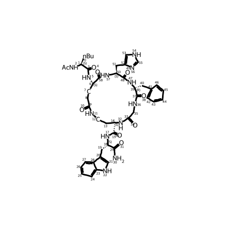 CCCC[C@H](NC(C)=O)C(=O)N[C@H]1CCC(=O)NCC[C@@H](C(=O)N[C@@H](Cc2c[nH]c3ccccc23)C(N)=O)NC(=O)CNC(=O)[C@@H](Cc2ccccc2)NC(=O)[C@H](Cc2c[nH]cn2)NC1=O